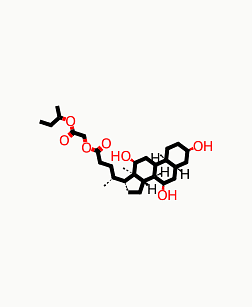 CCC(C)OC(=O)COC(=O)CC[C@@H](C)[C@H]1CC[C@H]2[C@@H]3[C@H](O)C[C@@H]4C[C@H](O)CC[C@]4(C)[C@H]3C[C@H](O)[C@]12C